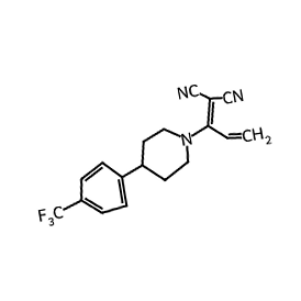 C=CC(=C(C#N)C#N)N1CCC(c2ccc(C(F)(F)F)cc2)CC1